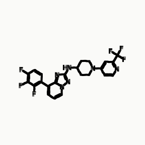 Fc1ccc(-c2cccn3nc(NC4CCN(c5ccnc(C(F)(F)F)c5)CC4)nc23)c(F)c1F